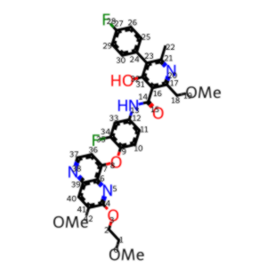 COCCOc1nc2c(Oc3ccc(NC(=O)c4c(COC)nc(C)c(-c5ccc(F)cc5)c4O)cc3F)ccnc2cc1OC